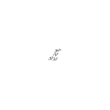 [In+3].[Li+].[S-2].[S-2]